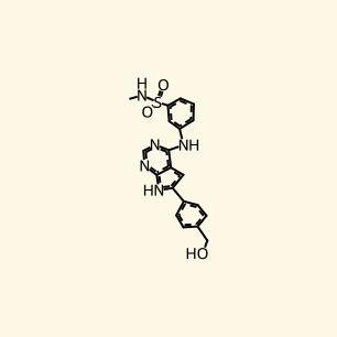 CNS(=O)(=O)c1cccc(Nc2ncnc3[nH]c(-c4ccc(CO)cc4)cc23)c1